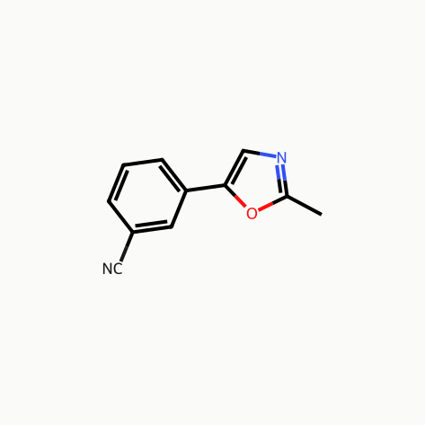 Cc1ncc(-c2cccc(C#N)c2)o1